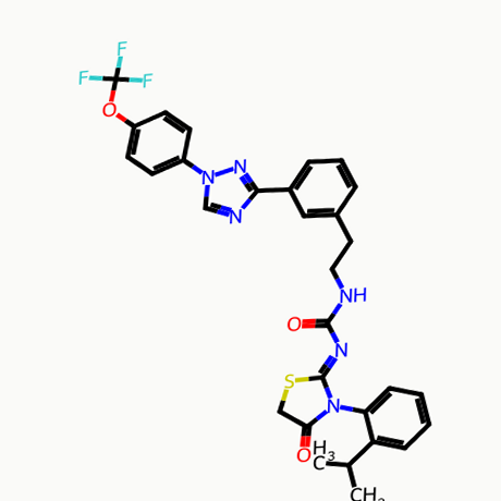 CC(C)c1ccccc1N1C(=O)CSC1=NC(=O)NCCc1cccc(-c2ncn(-c3ccc(OC(F)(F)F)cc3)n2)c1